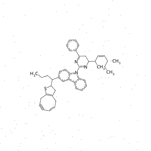 CCCC(c1ccc2c(c1)c1ccccc1n2C1=NC(C(C)/C=C\[C@H](C)CC)CC(c2ccccc2)=N1)C1CC2=C(CC#C/C=C\C2)S1